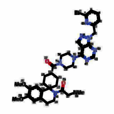 CCc1cccc(Cn2ncc3c(N4CCN(C(=O)[C@H]5CC[C@]6(CC5)c5cc(OC)c(OC)cc5CCN6C(=O)CNC)CC4)ncnc32)n1